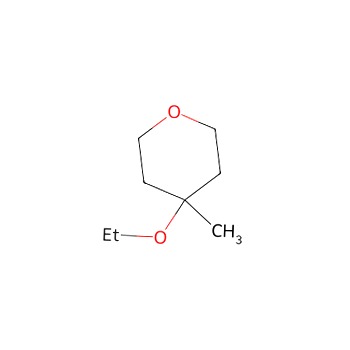 CCOC1(C)CCOCC1